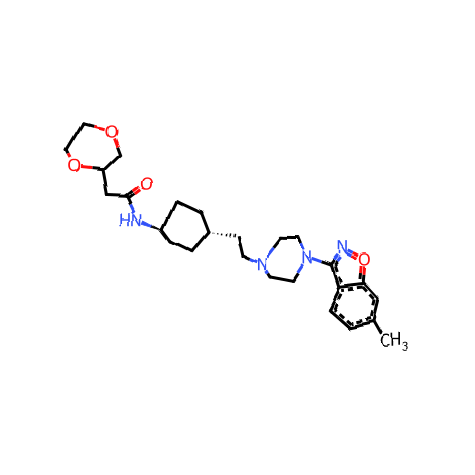 Cc1ccc2c(N3CCN(CC[C@H]4CC[C@H](NC(=O)CC5COCCO5)CC4)CC3)noc2c1